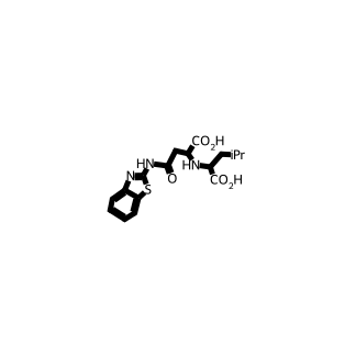 CC(C)CC(NC(CC(=O)Nc1nc2ccccc2s1)C(=O)O)C(=O)O